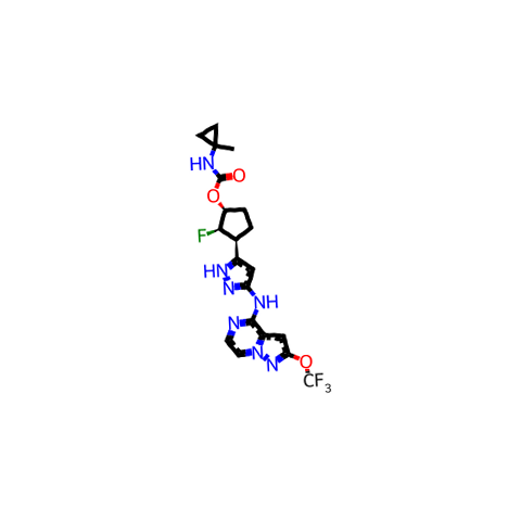 CC1(NC(=O)O[C@H]2CC[C@@H](c3cc(Nc4nccn5nc(OC(F)(F)F)cc45)n[nH]3)[C@H]2F)CC1